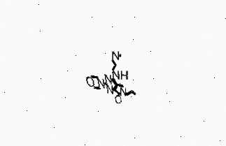 CCCN1Cc2c(NCCCN(C)C)nc(N3CCOCC3)nc2C1=O